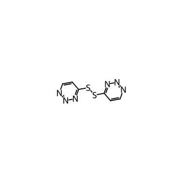 c1cc(SSc2ccnnn2)nnn1